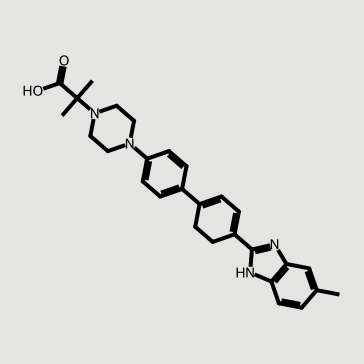 Cc1ccc2[nH]c(C3=CC=C(c4ccc(N5CCN(C(C)(C)C(=O)O)CC5)cc4)CC3)nc2c1